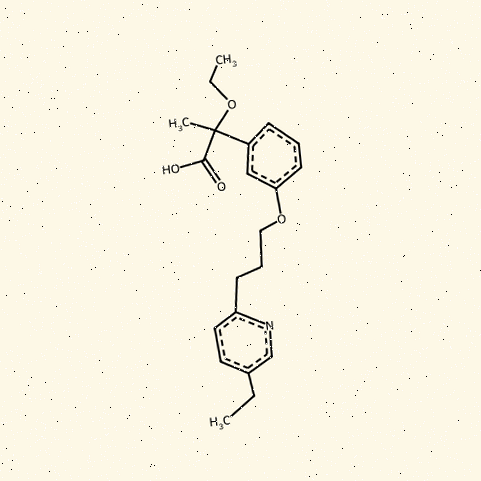 CCOC(C)(C(=O)O)c1cccc(OCCCc2ccc(CC)cn2)c1